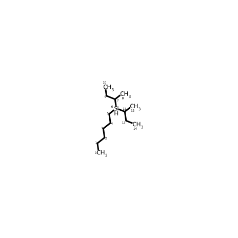 CCCCCC[SiH](C(C)CC)C(C)CC